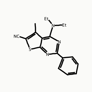 CCN(CC)c1nc(-c2ccccc2)nc2sc(C#N)c(C)c12